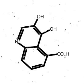 O=C(O)c1cccc2ncc(O)c(O)c12